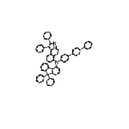 c1ccc(-c2ccc(-c3ccc(N(c4cccc5c4-c4ccccc4C5(c4ccccc4)c4ccccc4)c4cccc5c4ccn4nc(-c6ccccc6)c(-c6ccccc6)c54)cc3)cc2)cc1